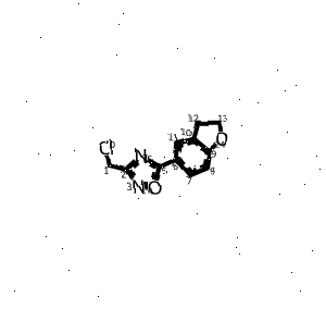 ClCc1noc(-c2ccc3c(c2)CCO3)n1